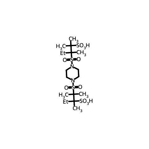 CCC(C)(C(C)(C)S(=O)(=O)N1CCN(S(=O)(=O)C(C)(CC)C(C)(C)S(=O)(=O)O)CC1)S(=O)(=O)O